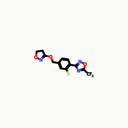 Fc1cc(COC2=NOCC2)ccc1-c1noc(C(F)(F)F)n1